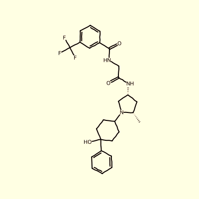 C[C@H]1C[C@@H](NC(=O)CNC(=O)c2cccc(C(F)(F)F)c2)CN1C1CCC(O)(c2ccccc2)CC1